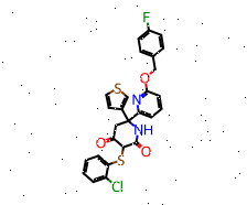 O=C1CC(c2ccsc2)(c2cccc(OCc3ccc(F)cc3)n2)NC(=O)C1Sc1ccccc1Cl